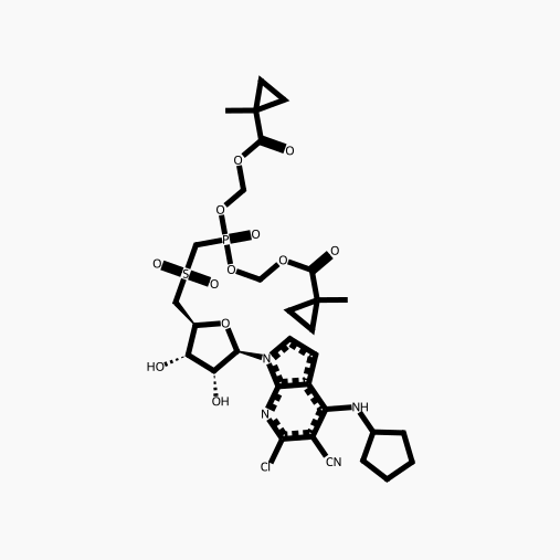 CC1(C(=O)OCOP(=O)(CS(=O)(=O)C[C@H]2O[C@@H](n3ccc4c(NC5CCCC5)c(C#N)c(Cl)nc43)[C@H](O)[C@@H]2O)OCOC(=O)C2(C)CC2)CC1